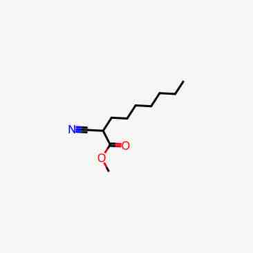 CCCCCCCC(C#N)C(=O)OC